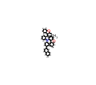 C/C=c1/oc2ccccc2/c1=C(/C)c1ccccc1N(c1ccc(-c2ccc3ccccc3c2)cc1)c1c#ccc2oc3ccccc3c12